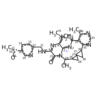 C=C(/N=C1\C(=C(C)C)N=C(NCc2ccc([S+](C)[O-])cn2)C(=O)N1C(C)C1CC1)c1c(C)ncnc1C1CC1